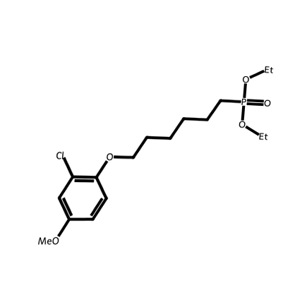 CCOP(=O)(CCCCCCOc1ccc(OC)cc1Cl)OCC